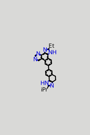 CCc1nc2c3ncncc3c3cc(-c4ccc5c(c4)CCc4nc(C(C)C)[nH]c4-5)ccc3c2[nH]1